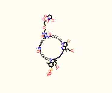 COCCC1(C)C2=Nc3c1cc(Br)c[n+]3CCCCCC(=O)NC(C(=O)NCCOCCC(=O)ON1C(=O)CCC1=O)CCCCNC(=O)CCCCCN1/C(=C/C=C/C=C/2)C(C)(CCOC)c2cc(SOO[O-])cc(C)c21